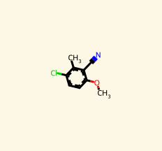 COc1ccc(Cl)c(C)c1C#N